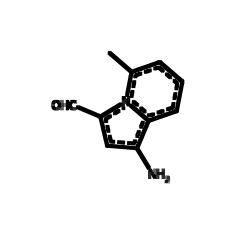 Cc1cccc2c(N)cc(C=O)n12